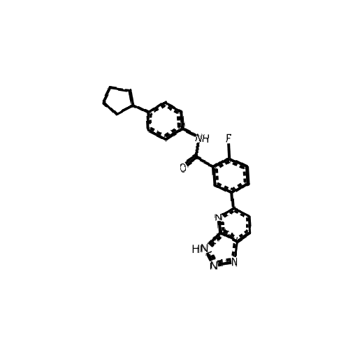 O=C(Nc1ccc(C2CCCC2)cc1)c1cc(-c2ccc3nn[nH]c3n2)ccc1F